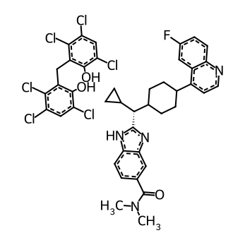 CN(C)C(=O)c1ccc2[nH]c([C@@H](C3CCC(c4ccnc5ccc(F)cc45)CC3)C3CC3)nc2c1.Oc1c(Cl)cc(Cl)c(Cl)c1Cc1c(O)c(Cl)cc(Cl)c1Cl